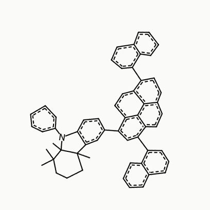 CC1(C)CCCC2(C)c3cc(-c4cc(-c5cccc6ccccc56)c5ccc6ccc(-c7cccc8ccccc78)c7ccc4c5c67)ccc3N(c3ccccc3)C12C